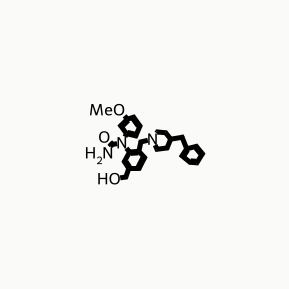 COc1cccc(N(C(N)=O)c2cc(CO)ccc2CN2CCC(Cc3ccccc3)CC2)c1